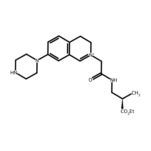 CCOC(=O)[C@H](C)CNC(=O)C[N+]1=Cc2cc(N3CCNCC3)ccc2CC1